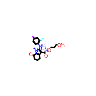 Cn1c(Nc2ccc(I)cc2F)c(C(=O)NOCCCO)c2c1C(=O)CCC2